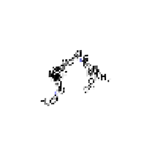 COC/C=C/C(=O)N1CCC(n2nc(-c3ccc(Oc4cccc(CN(C)C/C=C/C(=O)N5CCC(n6nc(-c7ccc(Oc8ccccc8)cc7)c7c(N)ncnc76)CC5)c4)cc3)c3c(N)ncnc32)CC1